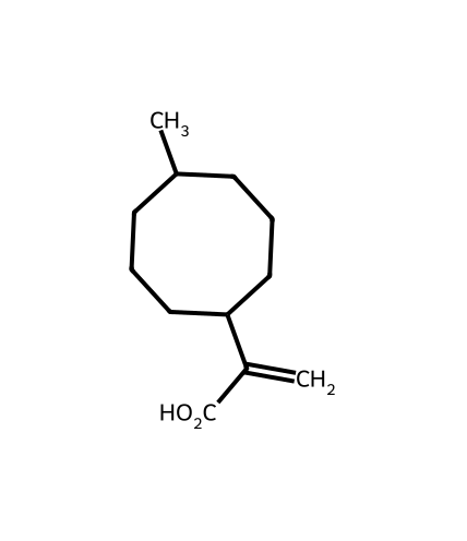 C=C(C(=O)O)C1CCCC(C)CCC1